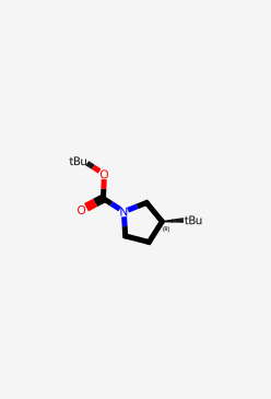 CC(C)(C)OC(=O)N1CC[C@H](C(C)(C)C)C1